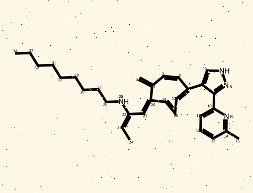 C=C1\C=C/C(c2c[nH]nc2-c2cccc(C)n2)=C/C=C/C1=C/C(=C\C)NCCCCCCCCC